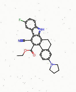 CCOC(=O)c1c2c(c3[nH]c4ccc(F)cc4c3c1C#N)CCc1cc(N3CCCC3)ccc1-2